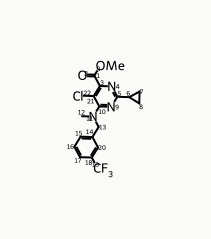 COC(=O)c1nc(C2CC2)nc(N(C)Cc2cccc(C(F)(F)F)c2)c1Cl